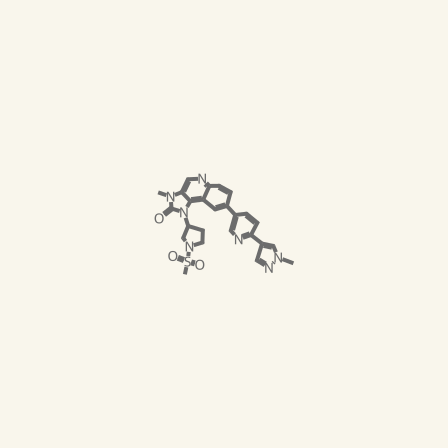 Cn1cc(-c2ccc(-c3ccc4ncc5c(c4c3)n(C3CCN(S(C)(=O)=O)C3)c(=O)n5C)cn2)cn1